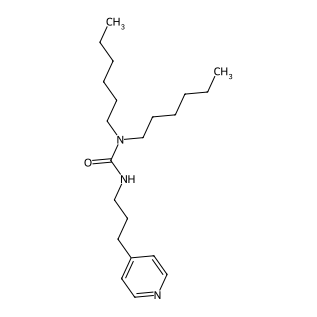 CCCCCCN(CCCCCC)C(=O)NCCCc1ccncc1